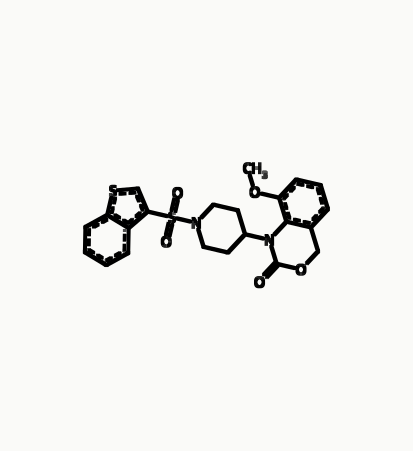 COc1cccc2c1N(C1CCN(S(=O)(=O)c3csc4ccccc34)CC1)C(=O)OC2